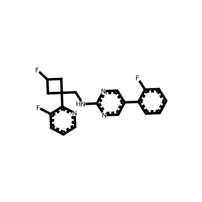 Fc1ccccc1-c1cnc(NCC2(c3ncccc3F)CC(F)C2)nc1